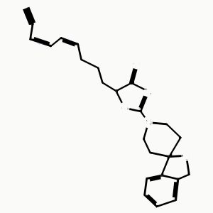 C#C/C=C\C=C/CCCC1OC(N2CCC3(CC2)OCc2ccccc23)=NC1=O